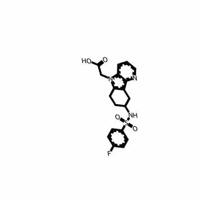 O=C(O)Cn1c2c(c3ncccc31)CC(NS(=O)(=O)c1ccc(F)cc1)CC2